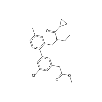 CCN(Cc1cc(C)ccc1-c1cc(Cl)cc(CC(=O)OC)c1)C(=O)C1CC1